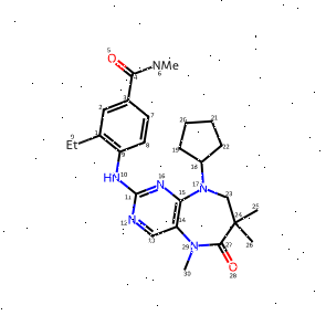 CCc1cc(C(=O)NC)ccc1Nc1ncc2c(n1)N(C1CCCC1)CC(C)(C)C(=O)N2C